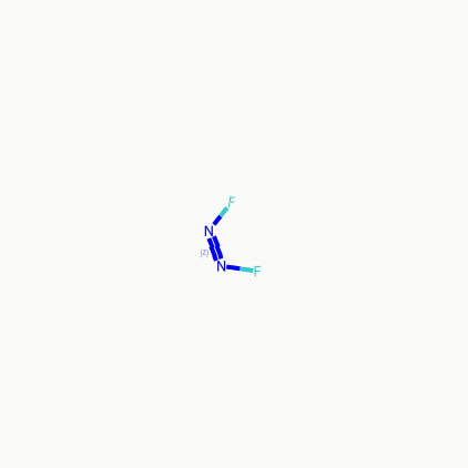 F/N=N\F